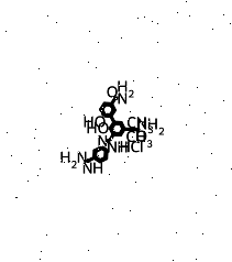 CC(C)(C(N)=O)c1cc(-c2nc3cc(C(=N)N)ccc3[nH]2)c(O)c(-c2cc(C(N)=O)ccc2O)c1.Cl